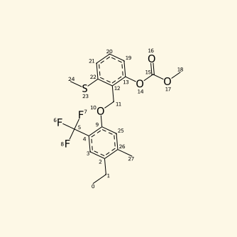 CCc1cc(C(F)(F)F)c(OCc2c(OC(=O)OC)cccc2SC)cc1C